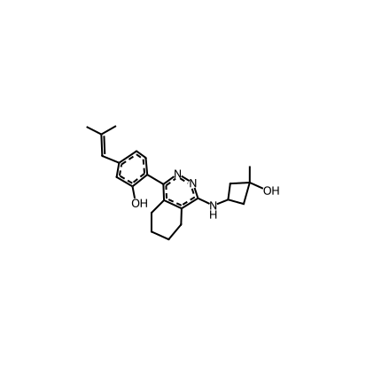 CC(C)=Cc1ccc(-c2nnc(NC3CC(C)(O)C3)c3c2CCCC3)c(O)c1